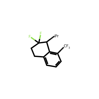 CC(C)C1c2c(cccc2C(F)(F)F)CCC1(F)F